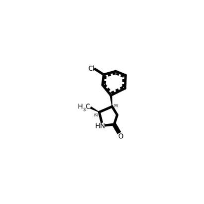 C[C@@H]1NC(=O)C[C@@H]1c1cccc(Cl)c1